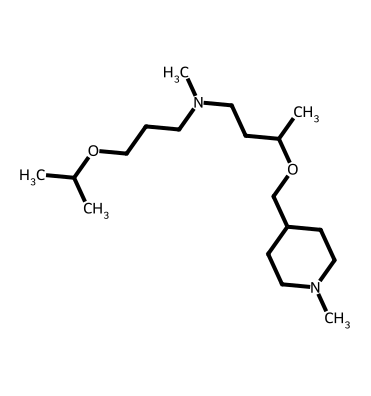 CC(C)OCCCN(C)CCC(C)OCC1CCN(C)CC1